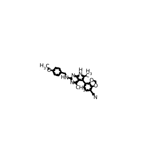 COc1ccc(CNc2nc(C)c3c(-c4ccc(C#N)c5c4OCO5)c(C)[nH]c3n2)cc1